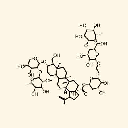 C=C(C)C1CC[C@]2(C(=O)O[C@H]3C[C@@H](O)[C@H](O)[C@@H](CCO[C@@H]4O[C@H](CO)[C@@H](O[C@@H]5O[C@@H](C)[C@H](O)[C@@H](O)[C@H]5O)[C@H](O)[C@H]4O)O3)CC[C@]3(C)[C@H](CCC4[C@@]5(C)CC[C@H](O[C@@H]6OC[C@H](O)[C@H](O)[C@H]6O[C@@H]6O[C@@H](C)[C@H](O)[C@@H](O)[C@H]6O)[C@@](C)(CO)[C@@H]5CC[C@]43C)[C@H]12